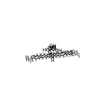 CCCCCCCCCCCCNCCCCCCCCCCCC.CCCCCCCCCCCCNCCCCCCCCCCCC.O=C(O)CC(C(=O)O)S(=O)(=O)O